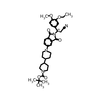 CCOc1cc([C@@H](CC#N)N2C(=O)c3ccc(N4CCC(C5CCN(C(=O)OC(C)(C)C)CC5)CC4)cc3C2=O)ccc1OC